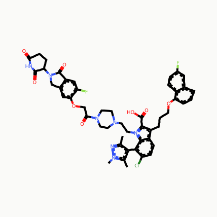 Cc1nn(C)c(C)c1-c1c(Cl)ccc2c(CCCOc3cccc4cc(F)ccc34)c(C(=O)O)n(CCN3CCN(C(=O)COc4cc5c(cc4F)C(=O)N(C4CCC(=O)NC4=O)C5)CC3)c12